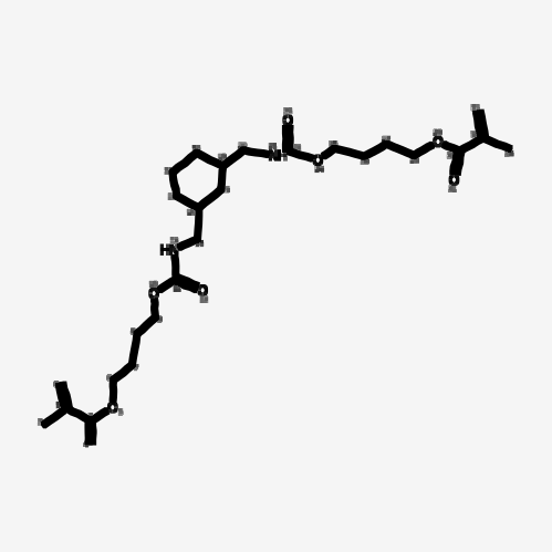 C=C(C)C(=C)OCCCCOC(=O)NCC1CCCC(CNC(=O)OCCCCOC(=O)C(=C)C)C1